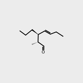 CC/C=C/[C@H](CCC)[C@@H](C)C=O